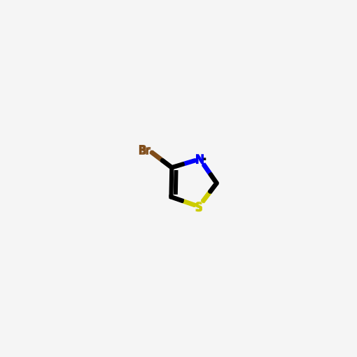 BrC1=CSC[N]1